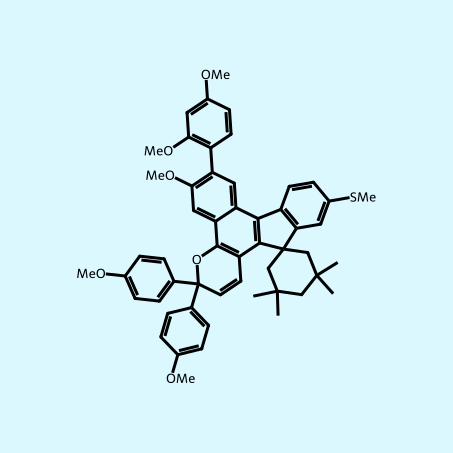 COc1ccc(C2(c3ccc(OC)cc3)C=Cc3c4c(c5cc(-c6ccc(OC)cc6OC)c(OC)cc5c3O2)-c2ccc(SC)cc2C42CC(C)(C)CC(C)(C)C2)cc1